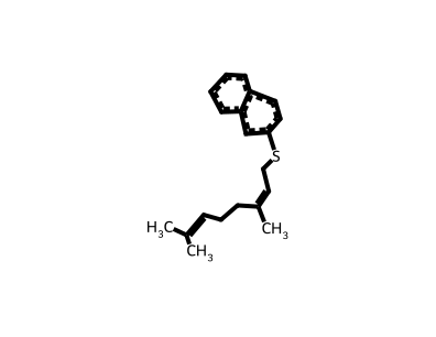 CC(C)=CCCC(C)=CCSc1ccc2ccccc2c1